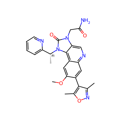 COc1cc2c(cc1-c1c(C)noc1C)ncc1c2n([C@H](C)c2ccccn2)c(=O)n1CC(N)=O